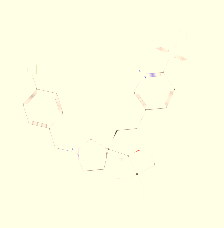 CS(=O)(=O)c1ccc(CC[C@@]2([C@H]3OCC3(F)F)CCN(Cc3ccc(Cl)cc3)C2)cn1